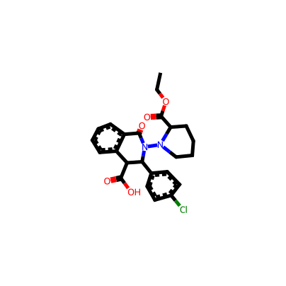 CCOC(=O)C1CCCCN1N1C(=O)c2ccccc2C(C(=O)O)C1c1ccc(Cl)cc1